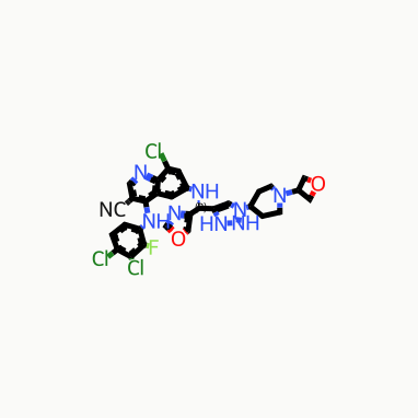 N#Cc1cnc2c(Cl)cc(N[C@H](C3=CN(C4CCN(C5COC5)CC4)NN3)c3cocn3)cc2c1Nc1ccc(Cl)c(Cl)c1F